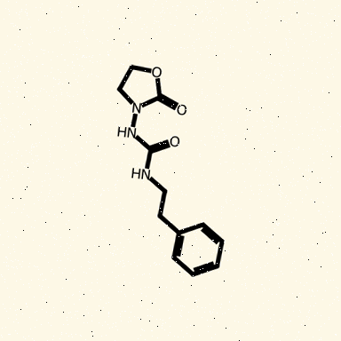 O=C(NCCc1ccccc1)NN1CCOC1=O